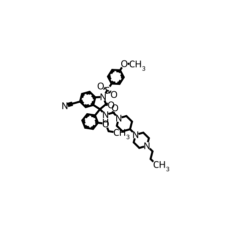 CCCN1CCN(C2CCN(C(=O)NC3(c4ccccc4OCC)C(=O)N(S(=O)(=O)c4ccc(OC)cc4)c4ccc(C#N)cc43)CC2)CC1